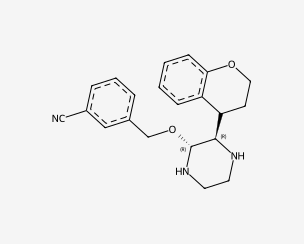 N#Cc1cccc(CO[C@H]2NCCN[C@@H]2C2CCOc3ccccc32)c1